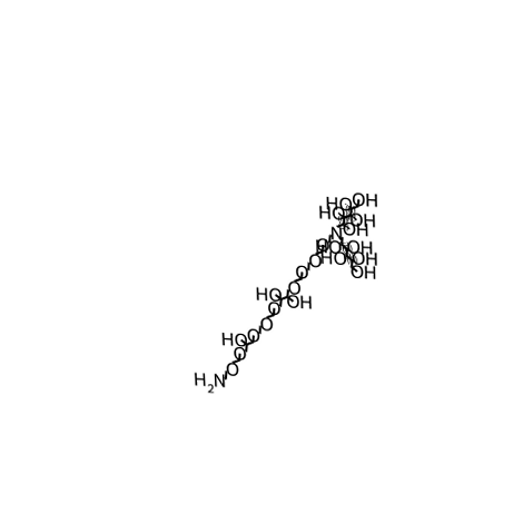 NCCOCCOCC(O)COCCOCCOCC(O)C(O)COCCOCCOCCOCCN(C[C@H](O)[C@@H](O)[C@H](O)[C@H](O)CO)C[C@H](O)[C@@H](O)[C@H](O)[C@H](O)CO